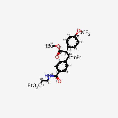 CCC[C@H](c1ccc(C(=O)NCCC(=O)OCC)cc1)[C@@H](C(=O)OC(C)(C)C)c1ccc(OC(F)(F)F)cc1